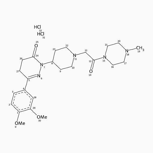 COc1ccc(C2=NN(C3CCN(CC(=O)N4CCN(C)CC4)CC3)C(=O)CC2)cc1OC.Cl.Cl